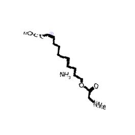 CCCCCCCC/C=C\CCCCCCCCOC(=O)CNC.N